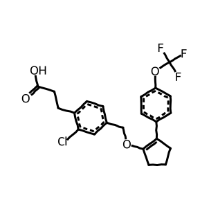 O=C(O)CCc1ccc(COC2=C(c3ccc(OC(F)(F)F)cc3)CCC2)cc1Cl